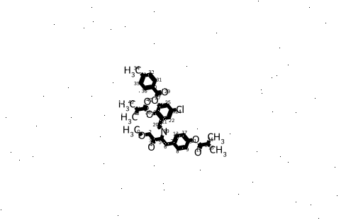 COCC(=O)C(Cc1ccc(OC(=O)C(C)C)cc1)N=Cc1cc(Cl)cc(OC(=O)c2ccc(C)cc2)c1OC(=O)C(C)C